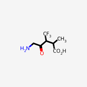 CC(C(=O)O)C(C(=O)CN)C(F)(F)F